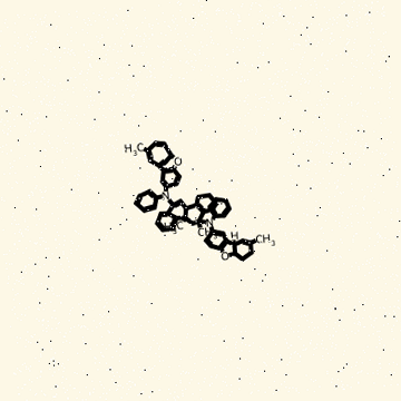 CC1=CC2=CC(C=C1)Oc1ccc(N(C3=CC4C5=C(C=CCC5)C(C)(N(C5=CCCC=C5)c5ccc6c(c5)[C@@H]5C=C(C)CCC5O6)CC4(C)c4ccccc43)c3ccccc3)cc12